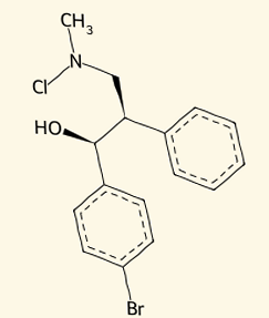 CN(Cl)C[C@@H](c1ccccc1)[C@H](O)c1ccc(Br)cc1